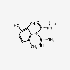 CNC(=O)N(C(=N)N)c1c(C)ccc(O)c1C